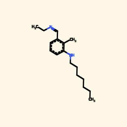 CCCCCCCNc1cccc(/C=N\CC)c1C